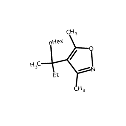 CCCCCCC(C)(CC)c1c(C)noc1C